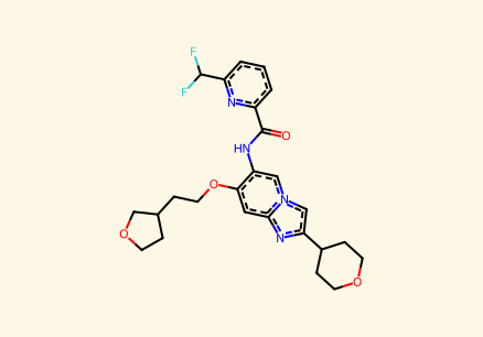 O=C(Nc1cn2cc(C3CCOCC3)nc2cc1OCCC1CCOC1)c1cccc(C(F)F)n1